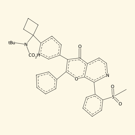 CC(C)(C)N(C(=O)O)C1(c2ccc(-c3c(-c4ccccc4)oc4c(-c5ccccc5S(C)(=O)=O)nccc4c3=O)cc2)CCC1